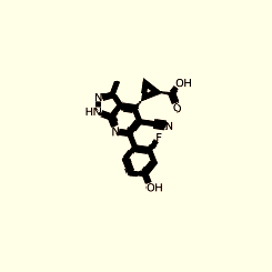 Cc1n[nH]c2nc(-c3ccc(O)cc3F)c(C#N)c([C@@H]3C[C@H]3C(=O)O)c12